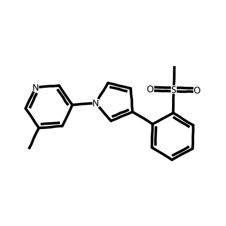 Cc1cncc(-n2ccc(-c3ccccc3S(C)(=O)=O)c2)c1